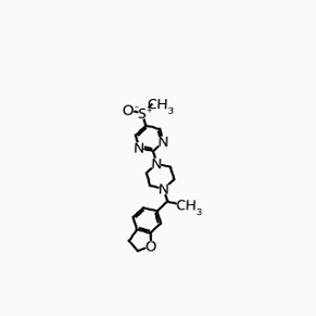 CC(c1ccc2c(c1)OCC2)N1CCN(c2ncc([S+](C)[O-])cn2)CC1